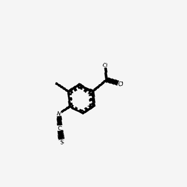 Cc1cc(C(=O)Cl)ccc1N=C=S